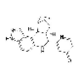 O=C1C=C([C@@H]2Nc3ccc4[nH]ncc4c3[C@H]3C4CCC(C4)[C@@H]23)N=CC1